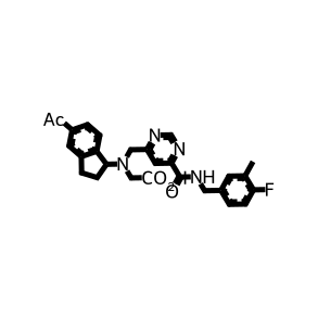 CC(=O)c1ccc2c(c1)CCC2N(CC(=O)O)Cc1cc(C(=O)NCc2ccc(F)c(C)c2)ncn1